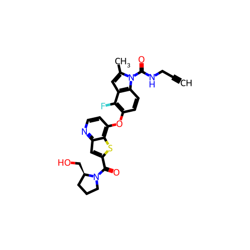 C#CCNC(=O)n1c(C)cc2c(F)c(Oc3ccnc4cc(C(=O)N5CCC[C@H]5CO)sc34)ccc21